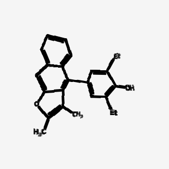 CCc1cc(-c2c3ccccc3cc3oc(C)c(C)c23)cc(CC)c1O